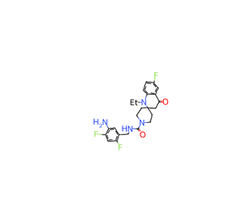 CCN1c2ccc(F)cc2C(=O)CC12CCN(C(=O)NCc1cc(N)c(F)cc1F)CC2